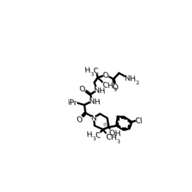 CC(C)C(NC(=O)NCC(C)(C)OC(=O)CN)C(=O)N1CC[C@](O)(c2ccc(Cl)cc2)C(C)(C)C1